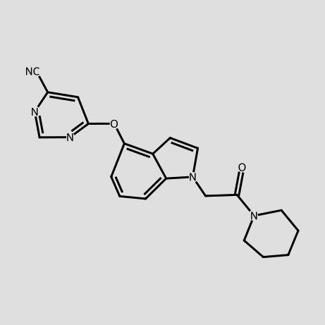 N#Cc1cc(Oc2cccc3c2ccn3CC(=O)N2CCCCC2)ncn1